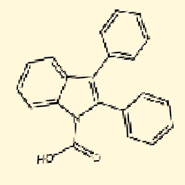 O=C(O)n1c(-c2ccccc2)c(-c2ccccc2)c2ccccc21